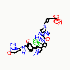 COc1cc(-c2nccc(-c3cccc(NC(=O)c4nc5c(n4C)CN(CC4CC(C(=O)O)C4)CC5)c3Cl)c2Cl)ccc1CNC[C@@H]1CCC(=O)N1